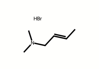 Br.CC=CCN(C)C